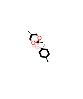 C[C@H]1CC[C@@](C)(B[C@]2(C)OC[C@H](C)CO2)CC1